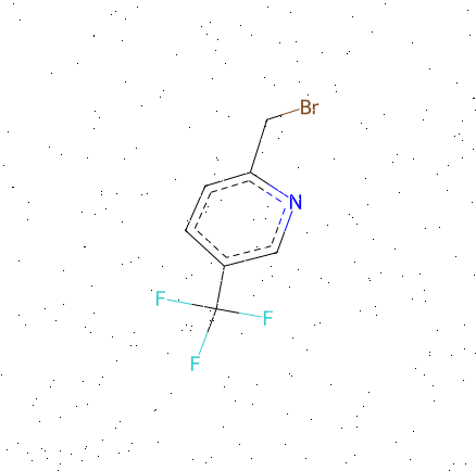 FC(F)(F)c1ccc(CBr)nc1